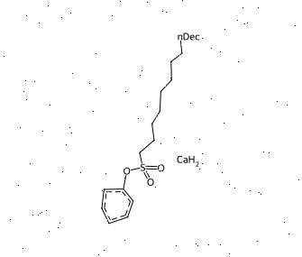 CCCCCCCCCCCCCCCCCCS(=O)(=O)Oc1ccccc1.[CaH2]